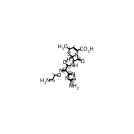 CC1C=C(C(=O)O)N2C(=O)C(NC(=O)/C(=N/OCCN)c3nsc(N)n3)[C@H]2S1